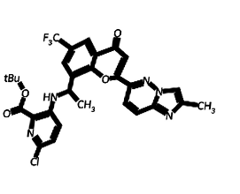 Cc1cn2nc(-c3cc(=O)c4cc(C(F)(F)F)cc(C(C)Nc5ccc(Cl)nc5C(=O)OC(C)(C)C)c4o3)ccc2n1